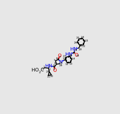 O=C(O)CC(NC(=O)C1CC(=O)N(c2cccc(NC(=O)NCc3ccccc3)c2)C1)C1CC1